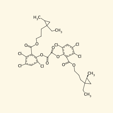 CCC1(CCCOC(=O)c2c(Cl)c(Cl)cc(Cl)c2OC(=O)C(=O)Oc2c(Cl)cc(Cl)c(Cl)c2C(=O)OCCCC2(CC)C[C@@H]2C)CC1C